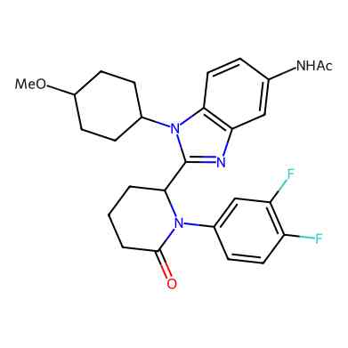 COC1CCC(n2c(C3CCCC(=O)N3c3ccc(F)c(F)c3)nc3cc(NC(C)=O)ccc32)CC1